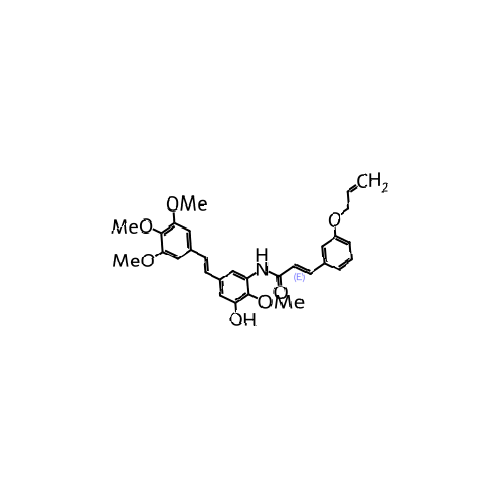 C=CCOc1cccc(/C=C/C(=O)Nc2cc(C=Cc3cc(OC)c(OC)c(OC)c3)cc(O)c2OC)c1